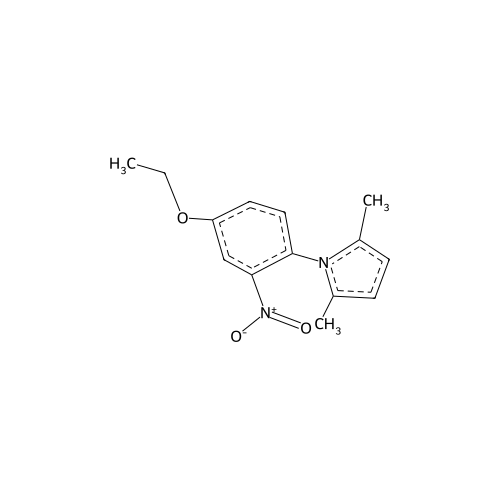 CCOc1ccc(-n2c(C)ccc2C)c([N+](=O)[O-])c1